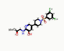 COC(=O)CNc1ncc(C2=CCN(S(=O)(=O)c3cc(F)cc(F)c3)CC2)cc1O